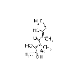 C/C=C\C(O)=C(/C)C(=O)/C(C)=C(\O)[C@](C)(O)C(C)=O